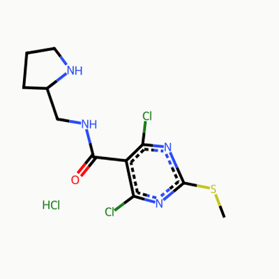 CSc1nc(Cl)c(C(=O)NCC2CCCN2)c(Cl)n1.Cl